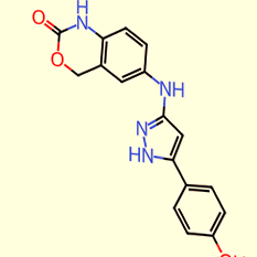 O=C1Nc2ccc(Nc3cc(-c4ccc(O)cc4)[nH]n3)cc2CO1